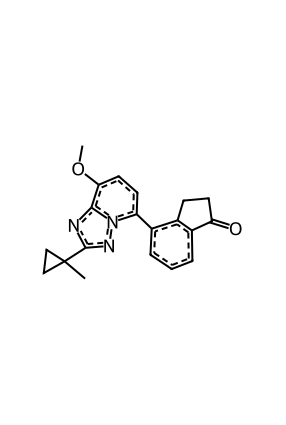 COc1ccc(-c2cccc3c2CCC3=O)n2nc(C3(C)CC3)nc12